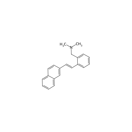 CN(C)Cc1ccccc1C=Cc1ccc2ccccc2c1